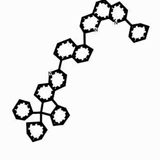 c1ccc(-c2ccc3ccc4ccc(-c5cccc6c(-c7ccc8c9c(ccc8n7)C(c7ccccc7)(c7ccccc7)c7ccccc7-9)cccc56)nc4c3n2)cc1